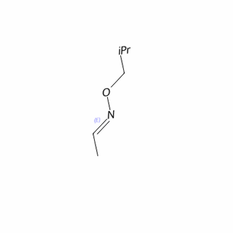 C/C=N/OCC(C)C